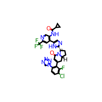 O=C(Nc1cnc(C(F)(F)F)cc1-c1cnc([C@@H]2CC[C@@H]3CC(c4c(-n5cnnn5)ccc(Cl)c4F)=CC(=O)N32)[nH]1)C1CC1